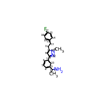 CC(N)c1cccc(-c2cc(CCc3ccc(F)cc3)n(C)n2)c1